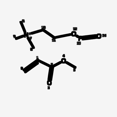 C=CC(=O)OC.C[N+](C)(C)CCOP=O